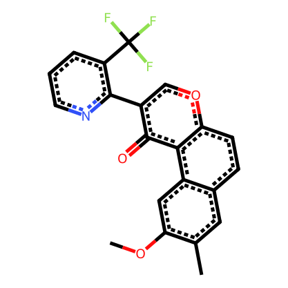 COc1cc2c(ccc3occ(-c4ncccc4C(F)(F)F)c(=O)c32)cc1C